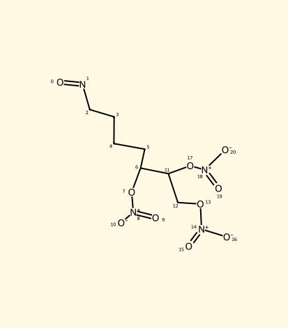 O=NCCCCC(O[N+](=O)[O-])C(CO[N+](=O)[O-])O[N+](=O)[O-]